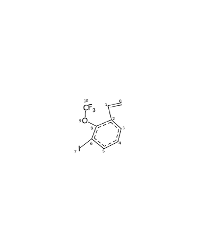 C=Cc1cccc(I)c1OC(F)(F)F